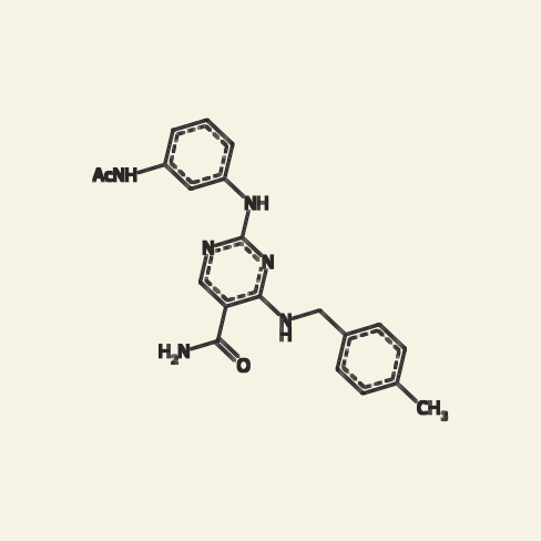 CC(=O)Nc1cccc(Nc2ncc(C(N)=O)c(NCc3ccc(C)cc3)n2)c1